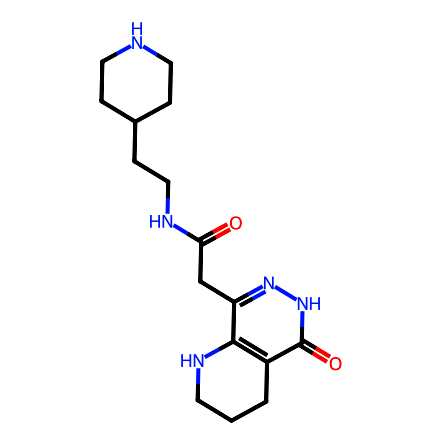 O=C(Cc1n[nH]c(=O)c2c1NCCC2)NCCC1CCNCC1